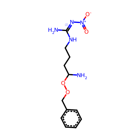 N/C(=N/[N+](=O)[O-])NCCCC(N)OOCc1ccccc1